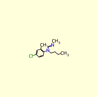 CCCCN(C=NC)c1ccc(Cl)cc1C